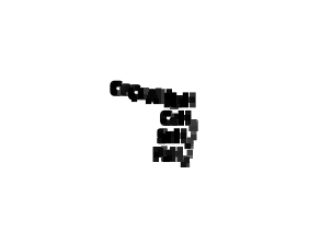 [AlH3].[CaH2].[Ce].[Cu].[NaH].[PbH2].[SnH2]